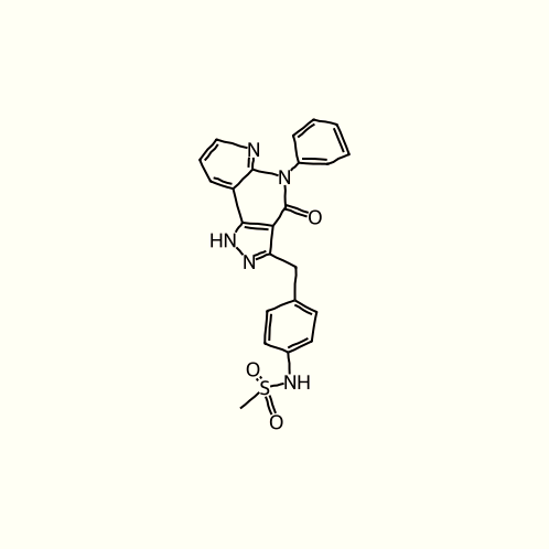 CS(=O)(=O)Nc1ccc(Cc2n[nH]c3c2c(=O)n(-c2ccccc2)c2ncccc32)cc1